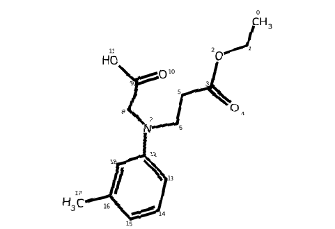 CCOC(=O)CCN(CC(=O)O)c1cccc(C)c1